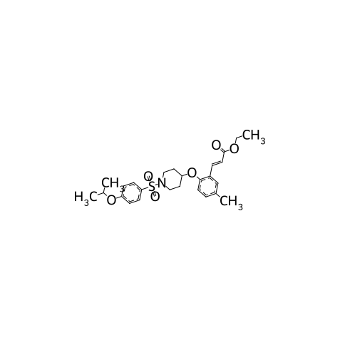 CCOC(=O)C=Cc1cc(C)ccc1OC1CCN(S(=O)(=O)c2ccc(OC(C)C)cc2)CC1